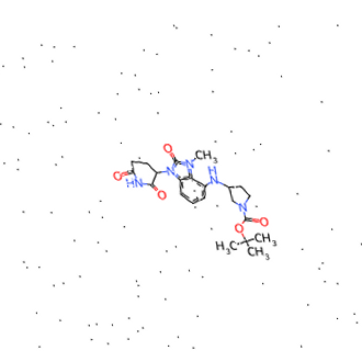 Cn1c(=O)n(C2CCC(=O)NC2=O)c2cccc(NC3CCN(C(=O)OC(C)(C)C)C3)c21